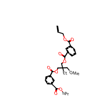 C=CCOC(=O)c1cccc(C(=O)OCC(CC)(COC)COC(=O)c2cccc(C(=O)OCCC)c2)c1